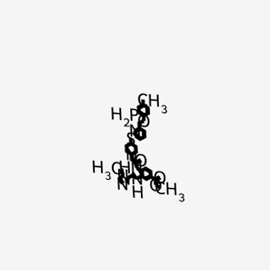 CCn1cncc1CNc1cc(C(=O)OC)ccc1NC(=O)CN1CCC(Sc2cccc(COc3ccc(C)cc3P)n2)CC1